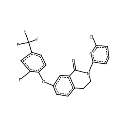 O=C1c2cc(Oc3ccc(C(F)(F)F)cc3F)ccc2CCN1c1cccc(Cl)n1